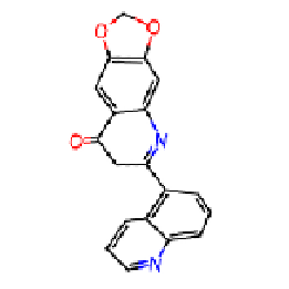 O=C1CC(c2cccc3ncccc23)=Nc2cc3c(cc21)OCO3